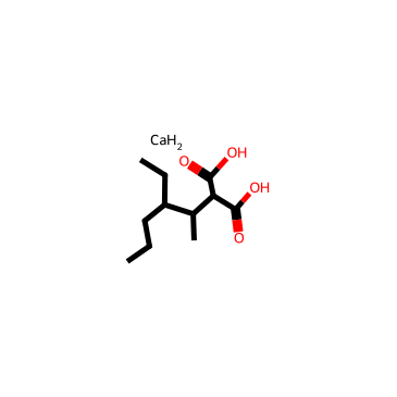 CCCC(CC)C(C)C(C(=O)O)C(=O)O.[CaH2]